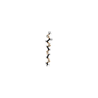 [CH2]CSCCSCCSCCS[CH2]